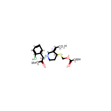 COC(=O)OCS[C@H]1CCN([C@H](C(=O)OC)c2ccccc2Cl)C/C1=C/C(=O)O